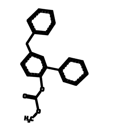 COC(=O)Oc1ccc(Cc2ccccc2)cc1-c1ccccc1